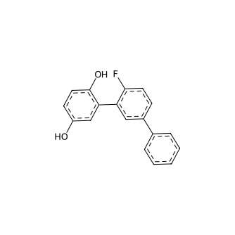 Oc1ccc(O)c(-c2cc(-c3ccccc3)ccc2F)c1